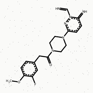 COc1ccc(CC(=O)N2CCN(c3ccc(=N)n(C=N)n3)CC2)cc1F